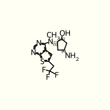 CN(c1ncnc2sc(CC(F)(F)F)cc12)[C@H]1C[C@@H](N)C[C@@H]1O